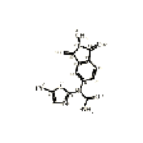 CC(C)c1cnc(N(C(N)=O)c2ccc3c(c2)C(=O)N(C)C3=O)s1